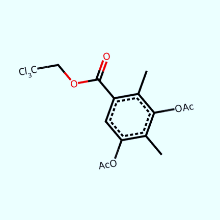 CC(=O)Oc1cc(C(=O)OCC(Cl)(Cl)Cl)c(C)c(OC(C)=O)c1C